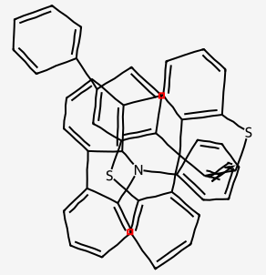 c1ccc(-c2ccc3c(c2)Sc2ccccc2C32c3ccccc3Sc3cccc(-c4cccc5c6ccccc6n(-c6ccccc6)c45)c32)cc1